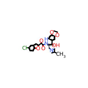 CC1CN(C[C@@H](NC(=O)C(=O)c2cc3cc(Cl)ccc3o2)[C@H](O)c2ccc3c(c2)OCCO3)C1